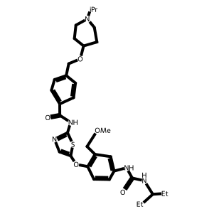 CCC(CC)NC(=O)Nc1ccc(Oc2cnc(NC(=O)c3ccc(COC4CCN(C(C)C)CC4)cc3)s2)c(COC)c1